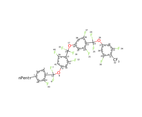 CCCCCc1ccc(C(F)(F)Oc2cc(F)c(C(F)(F)Oc3cc(F)c(C(F)(F)Oc4cc(F)c(C(F)(F)F)c(F)c4)c(F)c3)c(F)c2)c(F)c1